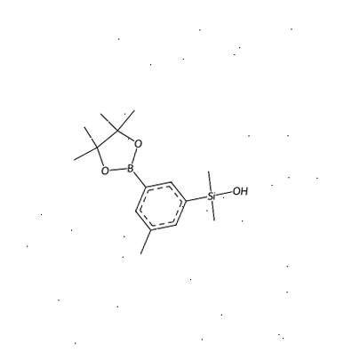 Cc1cc(B2OC(C)(C)C(C)(C)O2)cc([Si](C)(C)O)c1